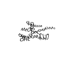 CNc1cc(OCc2cc(COc3cc(NCC4Cc5ccccc5N4C)c(C=O)cc3OC)cc(N(CCCC=O)CCOCCOCCOC)c2)c(OC)cc1C(=O)N1CCc2ccccc21